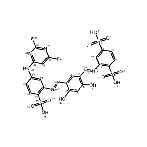 O=S(=O)(O)c1ccc(S(=O)(=O)O)c(/N=N/c2cc(/N=N/c3cc(Nc4cc(F)nc(F)n4)ccc3S(=O)(=O)O)c(O)cc2O)c1